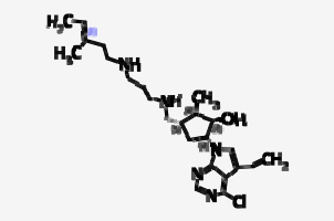 C=Cc1cn([C@@H]2C[C@H](CNCCCNCC/C(C)=C/C)[C@@H](C)[C@H]2O)c2ncnc(Cl)c12